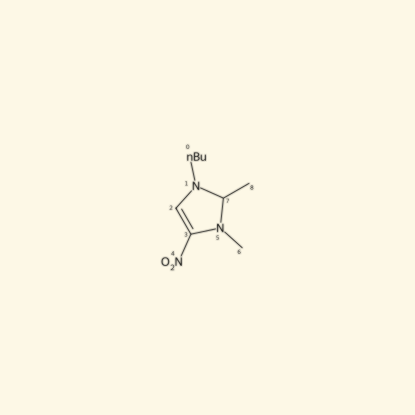 CCCCN1C=C([N+](=O)[O-])N(C)C1C